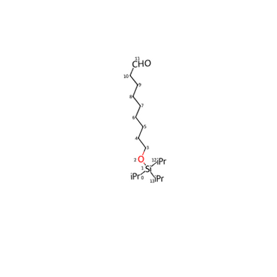 CC(C)[Si](OCCCCCCCCC=O)(C(C)C)C(C)C